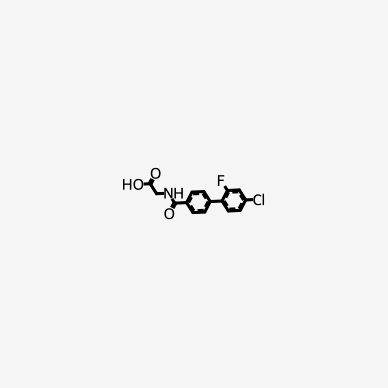 O=C(O)CNC(=O)c1ccc(-c2ccc(Cl)cc2F)cc1